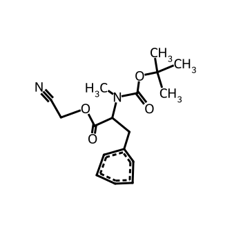 CN(C(=O)OC(C)(C)C)C(Cc1ccccc1)C(=O)OCC#N